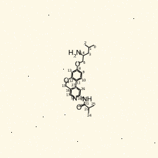 CC(C)C[C@H](N)COc1ccc2c(c1)OCc1cnc(NC(=O)C(C)C)cc1-2